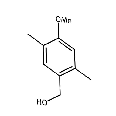 COc1cc(C)c(CO)cc1C